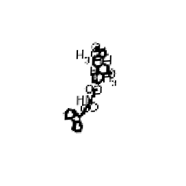 C[C@]12CC[C@H](OC(=O)CNC(=O)OCC3c4ccccc4-c4ccccc43)CC1C(=O)C[C@@H]1[C@@H]2CC[C@]2(C)C(=O)CC[C@@H]12